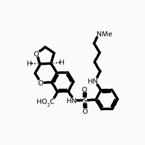 CNCCCCNc1ccccc1S(=O)(=O)Nc1ccc2c(c1C(=O)O)OC[C@H]1OCC[C@@H]21